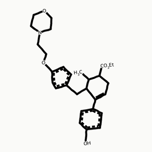 CCOC(=O)C1CC=C(c2ccc(O)cc2)C(Cc2ccc(OCCN3CCOCC3)cc2)C1C